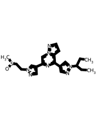 CCC(CC)n1cc(-c2nc(-c3cnn(CC[S+](C)[O-])c3)cn3nccc23)cn1